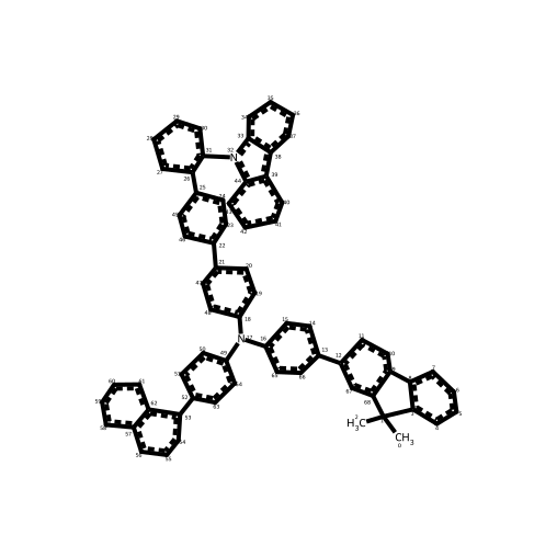 CC1(C)c2ccccc2-c2ccc(-c3ccc(N(c4ccc(-c5ccc(-c6ccccc6-n6c7ccccc7c7ccccc76)cc5)cc4)c4ccc(-c5cccc6ccccc56)cc4)cc3)cc21